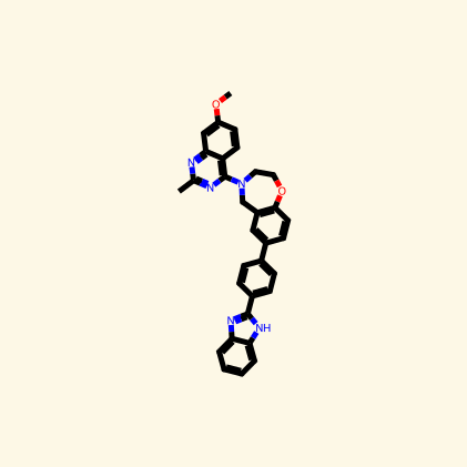 COc1ccc2c(N3CCOc4ccc(-c5ccc(-c6nc7ccccc7[nH]6)cc5)cc4C3)nc(C)nc2c1